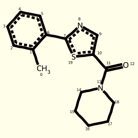 Cc1ccccc1-c1ncc(C(=O)N2CCCCC2)s1